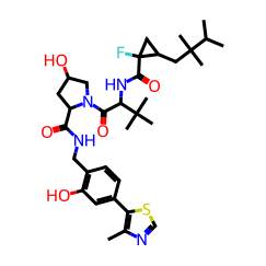 Cc1ncsc1-c1ccc(CNC(=O)C2CC(O)CN2C(=O)C(NC(=O)C2(F)CC2CC(C)(C)C(C)C)C(C)(C)C)c(O)c1